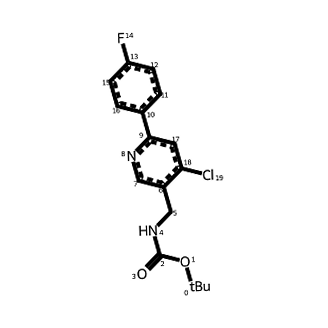 CC(C)(C)OC(=O)NCc1cnc(-c2ccc(F)cc2)cc1Cl